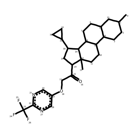 CC1CCC2C(CCC3C2CCC2(C)C(C(=O)COc4cnc(C(F)(F)F)nc4)CC(C4CC4)C32)C1